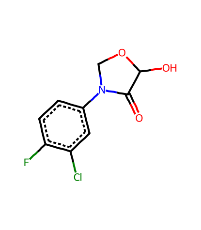 O=C1C(O)OCN1c1ccc(F)c(Cl)c1